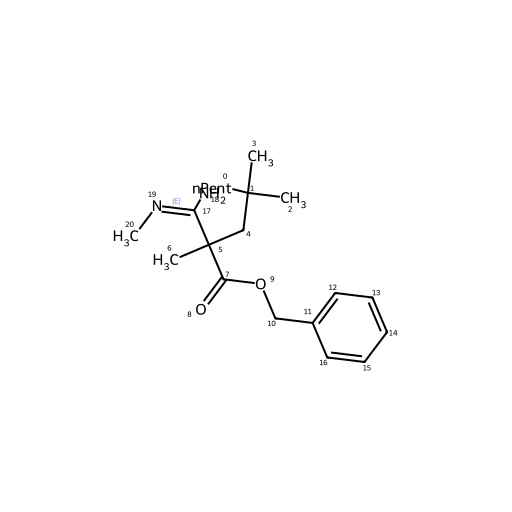 CCCCCC(C)(C)CC(C)(C(=O)OCc1ccccc1)/C(N)=N\C